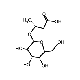 C[C@H](CC(=O)O)O[C@H]1OC(CO)[C@H](O)[C@H](O)C1O